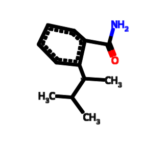 C[C](c1ccccc1C(N)=O)C(C)C